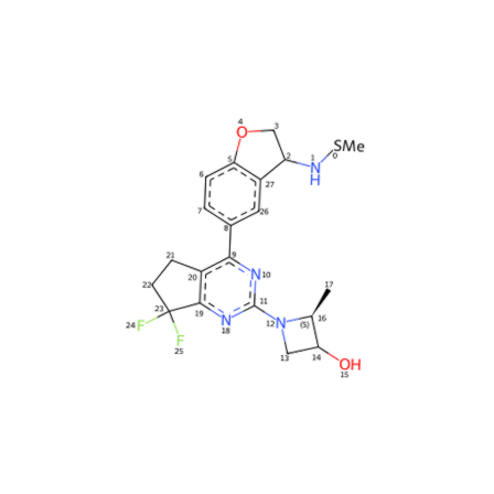 CSNC1COc2ccc(-c3nc(N4CC(O)[C@@H]4C)nc4c3CCC4(F)F)cc21